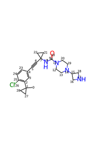 CC1(c2cc(C#CC3(NC(=O)N4CCN(C5CNC5)CC4)CC3)ccc2Cl)CC1